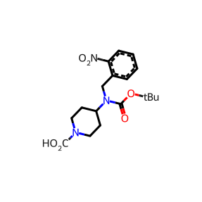 CC(C)(C)OC(=O)N(Cc1ccccc1[N+](=O)[O-])C1CCN(C(=O)O)CC1